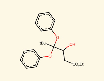 CCOC(=O)CC(O)C(Oc1ccccc1)(Oc1ccccc1)C(C)(C)C